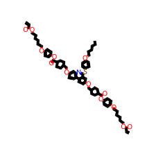 C=CC(=O)OCCCCCCOc1ccc(OC(=O)C2CCC(COc3ccc4c(c3)nc(Sc3ccc(OCCCCCC)cc3)c3cc(OCC5CCC(C(=O)Oc6ccc(OCCCCCCOC(=O)C=C)cc6)CC5)ccc34)CC2)cc1